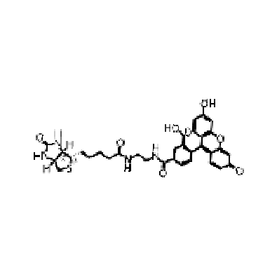 O=C(CCCC[C@@H]1SC[C@@H]2NC(=O)N[C@@H]21)NCCNC(=O)c1ccc(-c2c3ccc(=O)cc-3oc3cc(O)ccc23)c(C(=O)O)c1